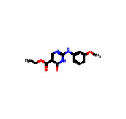 CCOC(=O)c1cnc(Nc2cccc(OC)c2)[nH]c1=O